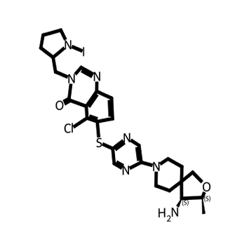 C[C@@H]1OCC2(CCN(c3cnc(Sc4ccc5ncn(CC6CCCN6I)c(=O)c5c4Cl)cn3)CC2)[C@@H]1N